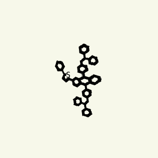 C(=C(c1ccccc1)c1ccccc1)c1ccc(-c2c3ccccc3c(-c3ccc(C=C(c4ccccc4)c4ccccc4)cc3)c3cc(-c4ccc(-c5ccccc5)s4)ccc23)cc1